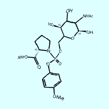 COC(=O)[C@@H]1CCCN1P(=O)(OCC1O[C@H](O)C(NC(C)=O)C(O)[C@@H]1O)Oc1ccc(OC)cc1